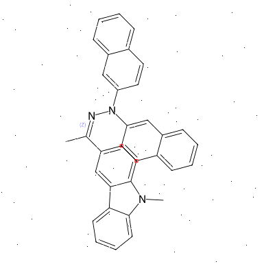 C/C(=N/N(c1ccc2ccccc2c1)c1ccc2ccccc2c1)c1ccc2c(c1)c1ccccc1n2C